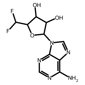 Nc1ncnc2c1ncn2C1OC(C(F)F)C(O)C1O